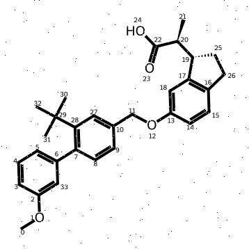 COc1cccc(-c2ccc(COc3ccc4c(c3)[C@H]([C@H](C)C(=O)O)CC4)cc2C(C)(C)C)c1